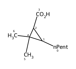 CCCCCC1C(C(=O)O)C1(C)C